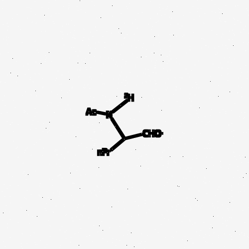 [2H]N(C(C)=O)C([C]=O)CCC